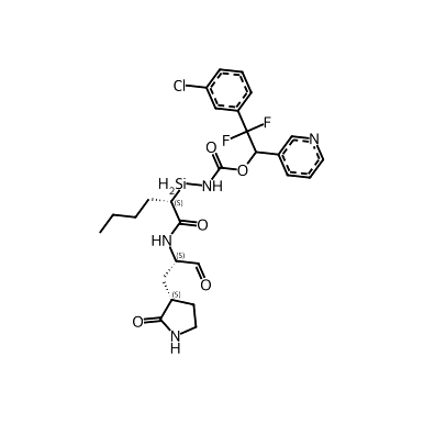 CCCC[C@H]([SiH2]NC(=O)OC(c1cccnc1)C(F)(F)c1cccc(Cl)c1)C(=O)N[C@H](C=O)C[C@@H]1CCNC1=O